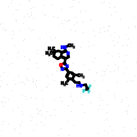 CNc1ncc(-c2nc(-c3cc(C)c(CCNCC(F)(F)F)c(C)c3)no2)c2c1CC(C)(C)CC2